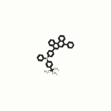 CC(C)(C)c1ccc(N(c2ccccc2)c2ccc(-c3cc4cc(C5=CCCC=C5)c5ccccc5c4c4ccccc34)cc2)cc1